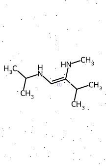 CN/C(=C\NC(C)C)C(C)C